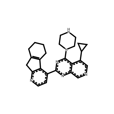 c1cc(-c2nc(N3CCNCC3)c3c(C4CC4)cncc3n2)c2c(n1)CC1=C2CCCC1